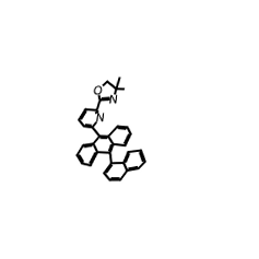 CC1(C)COC(c2cccc(-c3c4ccccc4c(-c4cccc5ccccc45)c4ccccc34)n2)=N1